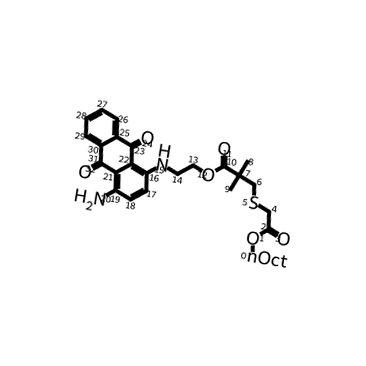 CCCCCCCCOC(=O)CSCC(C)(C)C(=O)OCCNc1ccc(N)c2c1C(=O)c1ccccc1C2=O